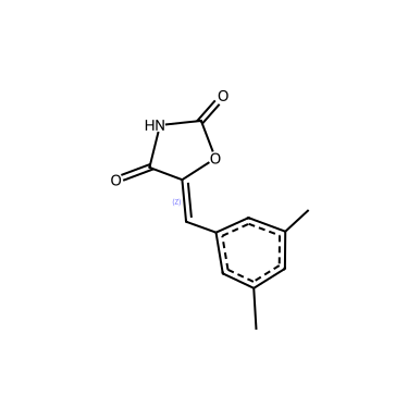 Cc1cc(C)cc(/C=C2\OC(=O)NC2=O)c1